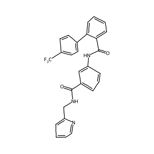 O=C(NCc1ccccn1)c1cccc(NC(=O)c2ccccc2-c2ccc(C(F)(F)F)cc2)c1